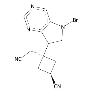 N#CC[C@]1(C2CN(Br)c3cncnc32)C[C@@H](C#N)C1